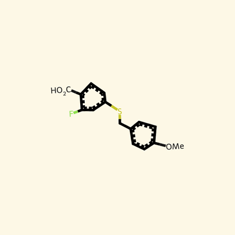 COc1ccc(CSc2ccc(C(=O)O)c(F)c2)cc1